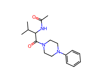 CC(=O)NC(C(=O)N1CCN(c2ccccc2)CC1)C(C)C